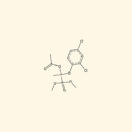 COP(=O)(OC)C(C)(OC(C)=O)Oc1ccc(Cl)cc1Cl